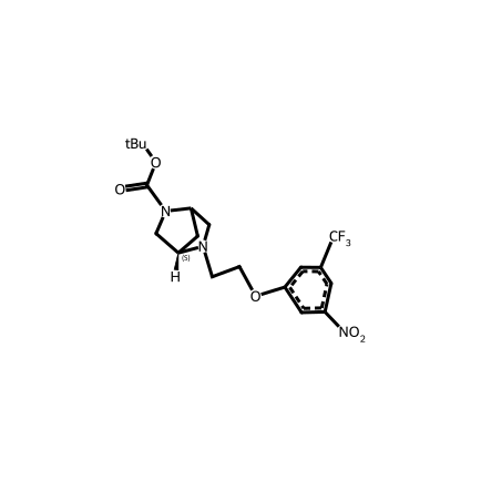 CC(C)(C)OC(=O)N1C[C@@H]2CC1CN2CCOc1cc([N+](=O)[O-])cc(C(F)(F)F)c1